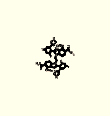 COc1c(C(N)=O)ccc2c1nc(-c1c(F)cc(F)cc1-c1nn[nH]n1)n2CCn1c(-c2c(F)cc(F)cc2-c2nn[nH]n2)nc2c(OC)c(C(N)=O)ccc21